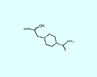 CNC(O)CN1CCN(C(C)N)CC1